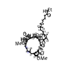 CCNC(=O)CCCSSC(C)(C)CCC(=O)N(C)[C@@H](C)C(=O)O[C@H]1CC(=O)N(C)c2cc(cc(OC)c2Cl)C/C(C)=C/C=C/[C@@H](OC)[C@@]2(O)C[C@H](OC(=O)N2)[C@@H](C)[C@@H]2O[C@]12C